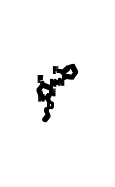 C=CCOc1ncc(F)c(/N=N/c2ccccc2F)n1